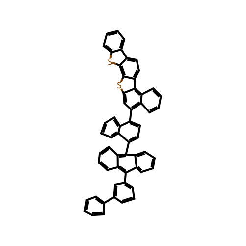 c1ccc(-c2cccc(-c3c4ccccc4c(-c4ccc(-c5cc6sc7c(ccc8c9ccccc9sc87)c6c6ccccc56)c5ccccc45)c4ccccc34)c2)cc1